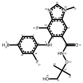 Bc1ccc(Nc2c(C(=O)NOC(C)(C)CO)cc3c(ncn3C)c2F)c(F)c1